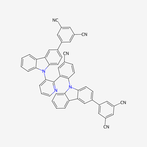 N#Cc1cc(C#N)cc(-c2ccc3c(c2)c2ccccc2n3-c2ccc(C#N)cc2-c2ncccc2-n2c3ccccc3c3cc(-c4cc(C#N)cc(C#N)c4)ccc32)c1